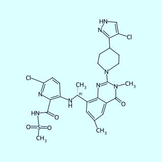 Cc1cc([C@@H](C)Nc2ccc(Cl)nc2C(=O)NS(C)(=O)=O)c2nc(N3CCC(c4n[nH]cc4Cl)CC3)n(C)c(=O)c2c1